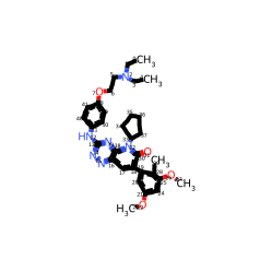 CCN(CC)CCOc1ccc(Nc2nnc3cc(-c4cc(OC)cc(OC)c4C)c(=O)n(C4CCCC4)c3n2)cc1